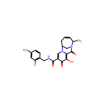 Cc1ccc(CNC(=O)c2cn3c(c(O)c2=O)C(=O)N2CC3CC=CC2C)c(F)c1